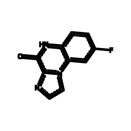 O=c1[nH]c2ccc(F)cc2n2ccnc12